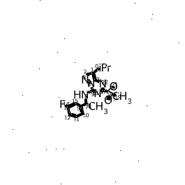 CC(C)c1cnn2c(N[C@@H](C)c3cccc(F)c3)nc(S(C)(=O)=O)nc12